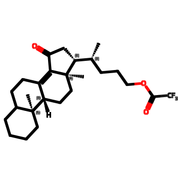 C[C@H](CCCOC(=O)C(F)(F)F)[C@H]1CC(=O)C2=C3CCC4CCCC[C@]4(C)[C@H]3CC[C@@]21C